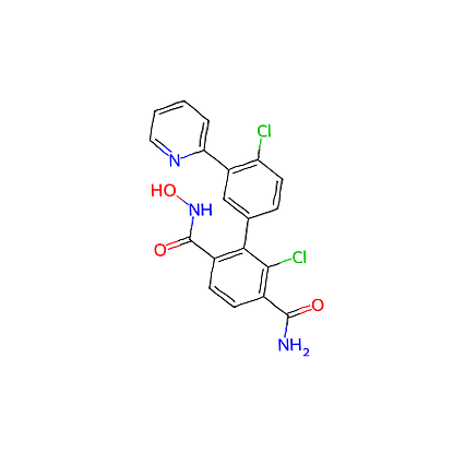 NC(=O)c1ccc(C(=O)NO)c(-c2ccc(Cl)c(-c3ccccn3)c2)c1Cl